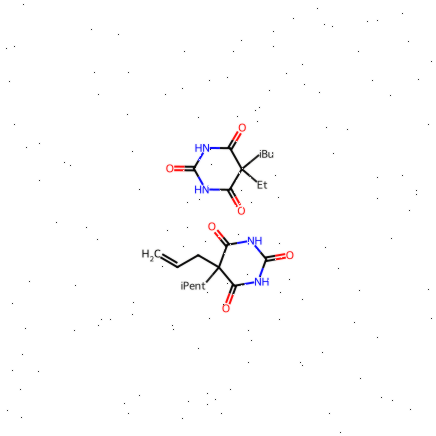 C=CCC1(C(C)CCC)C(=O)NC(=O)NC1=O.CCC(C)C1(CC)C(=O)NC(=O)NC1=O